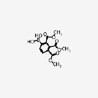 COC(=O)c1ccc(B(O)O)c(C(=O)OC)c1C(=O)OC